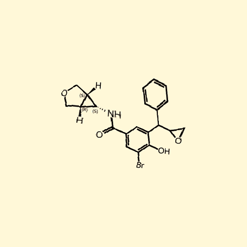 O=C(N[C@@H]1[C@@H]2COC[C@@H]21)c1cc(Br)c(O)c(C(c2ccccc2)C2CO2)c1